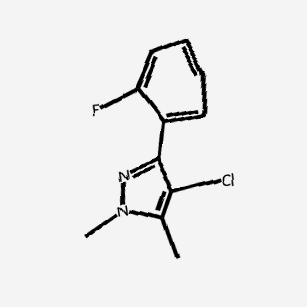 Cc1c(Cl)c(-c2ccccc2F)nn1C